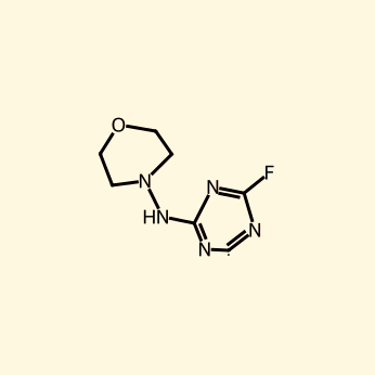 Fc1n[c]nc(NN2CCOCC2)n1